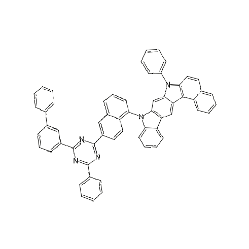 c1ccc(-c2cccc(-c3nc(-c4ccccc4)nc(-c4ccc5c(-n6c7ccccc7c7cc8c9c%10ccccc%10ccc9n(-c9ccccc9)c8cc76)cccc5c4)n3)c2)cc1